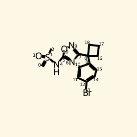 C=S(C)(=O)Nc1nc(C2(c3ccc(Br)cc3)CCC2)no1